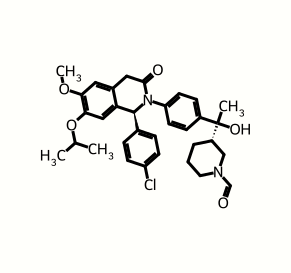 COc1cc2c(cc1OC(C)C)[C@H](c1ccc(Cl)cc1)N(c1ccc(C(C)(O)[C@H]3CCCN(C=O)C3)cc1)C(=O)C2